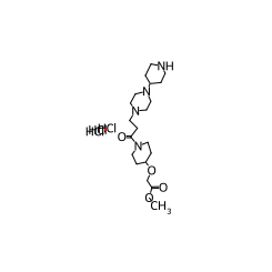 COC(=O)COC1CCN(C(=O)CCN2CCN(C3CCNCC3)CC2)CC1.Cl.Cl.Cl